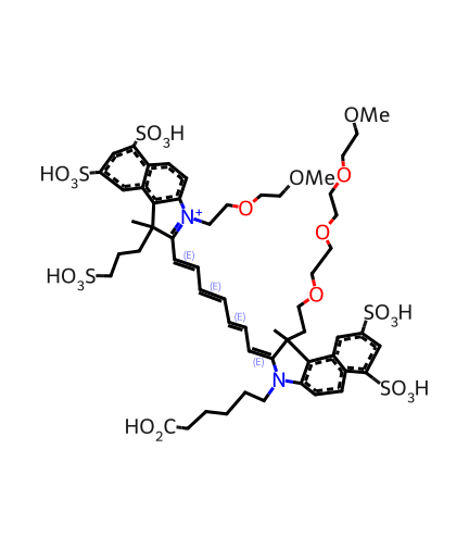 COCCOCCOCCOCCC1(C)\C(=C/C=C/C=C/C=C/C2=[N+](CCOCCOC)c3ccc4c(S(=O)(=O)O)cc(S(=O)(=O)O)cc4c3C2(C)CCCS(=O)(=O)O)N(CCCCCC(=O)O)c2ccc3c(S(=O)(=O)O)cc(S(=O)(=O)O)cc3c21